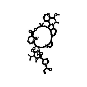 C=CC(=O)N1CCC(C(=O)N(C)[C@H](C(=O)N[C@H]2CN3CC=C(C3)c3ccc4c(c3)c(c(-c3cccnc3[C@H](C)OC)n4CC)CC(C)(C)COC(=O)[C@@H]3CCCN(N3)C2=O)C(C)C)C1